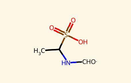 CC(N[C]=O)S(=O)(=O)O